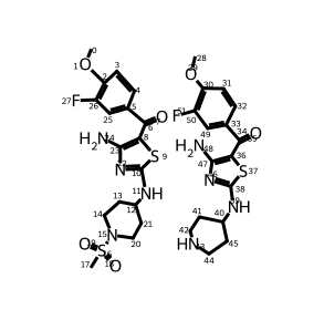 COc1ccc(C(=O)c2sc(NC3CCN(S(C)(=O)=O)CC3)nc2N)cc1F.COc1ccc(C(=O)c2sc(NC3CCNCC3)nc2N)cc1F